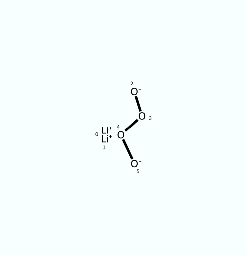 [Li+].[Li+].[O-]OO[O-]